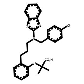 CC(C)(Oc1ccccc1CCCN(Cc1ccc(Cl)cc1)c1nc2ccccc2o1)C(=O)O